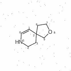 C1=CC2(CCN1)CCOC2